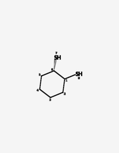 SC1CCCC[C@@H]1S